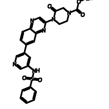 CC(C)(C)OC(=O)N1CCN(c2cnc3ccc(-c4cncc(NS(=O)(=O)c5ccccc5)c4)cc3n2)C(=O)C1